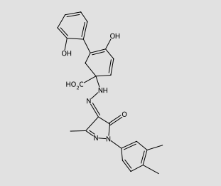 CC1=NN(c2ccc(C)c(C)c2)C(=O)C1=NNC1(C(=O)O)C=CC(O)=C(c2ccccc2O)C1